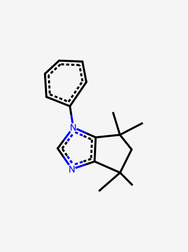 CC1(C)CC(C)(C)c2c1ncn2-c1ccccc1